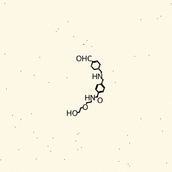 O=CC1=CCC(CNCc2ccc(C(=O)NCCOCCO)cc2)CC1